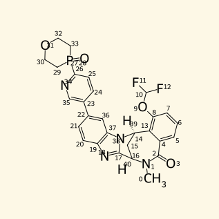 CN1C(=O)c2cccc(OC(F)F)c2[C@H]2C[C@@H]1c1nc3ccc(-c4ccc(P5(=O)CCOCC5)nc4)cc3n12